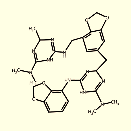 CC1N=C(NCc2cc(CC3N=C(Nc4cccc5c4OCO5)NC(N(C)C)=N3)cc3c2OCO3)NC(N(C)C)=N1